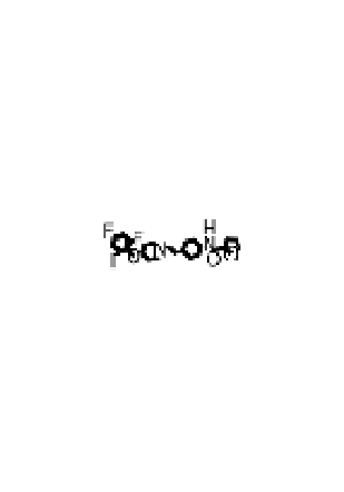 O=C(N[C@H]1CC[C@H](CCN2CCC(Oc3c(F)cc(F)cc3F)CC2)CC1)C1CCCO1